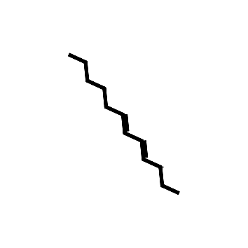 CC[CH]C=CC=CCCCCC